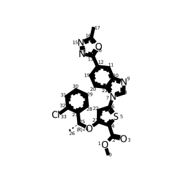 COC(=O)c1sc(-n2cnc3cc(-c4nnc(C)o4)ccc32)cc1O[C@H](C)c1ccccc1Cl